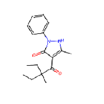 CCC(C)(CC)C(=O)c1c(C)[nH]n(-c2ccccc2)c1=O